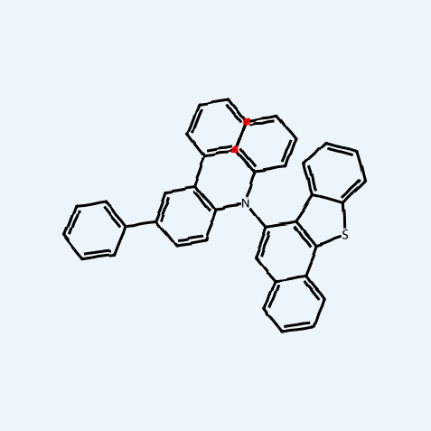 c1ccc(-c2ccc(N(c3ccccc3)c3cc4ccccc4c4sc5ccccc5c34)c(-c3ccccc3)c2)cc1